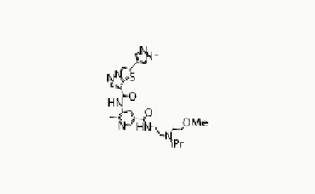 COCCN(CCNC(=O)c1cnc(C)c(NC(=O)c2cnn3cc(-c4cnn(C)c4)sc23)c1)C(C)C